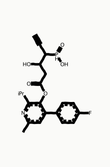 C#CC(C(O)CC(=O)Oc1c(-c2ccc(F)cc2)cc(C)nc1C(C)C)[PH](=O)O